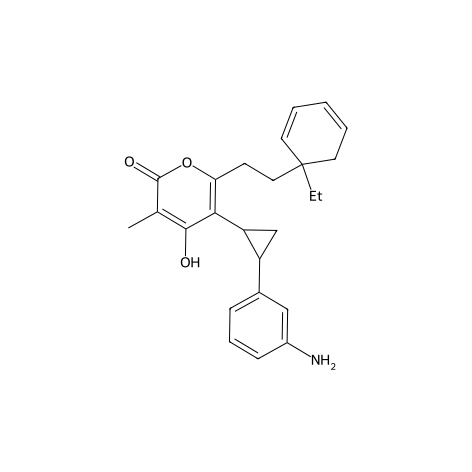 CCC1(CCc2oc(=O)c(C)c(O)c2C2CC2c2cccc(N)c2)C=CC=CC1